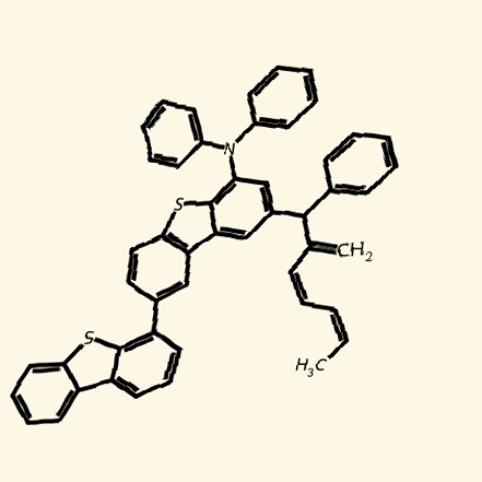 C=C(/C=C\C=C/C)C(c1ccccc1)c1cc(N(c2ccccc2)c2ccccc2)c2sc3ccc(-c4cccc5c4sc4ccccc45)cc3c2c1